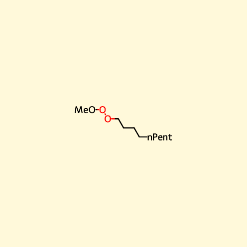 CCCCCCCCCOOOC